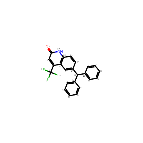 O=c1cc(C(F)(F)F)c2cc(C(c3ccccc3)c3ccccc3)ccc2[nH]1